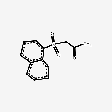 CC(=O)CS(=O)(=O)c1cccc2ccccc12